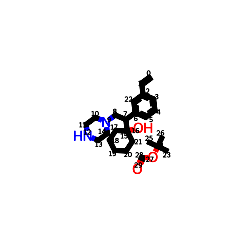 C=Cc1cccc(C(CN2CCNCC2)C2(O)CCCCC2)c1.CC(C)(C)OC=O